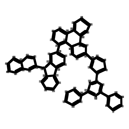 c1ccc(-c2cc(-c3cccc(-c4ccc5c(c4)c4ccccc4c4cccc(-c6ccc7c8ccccc8n(-c8ccc9ccccc9c8)c7c6)c45)c3)nc(-c3ccccc3)n2)cc1